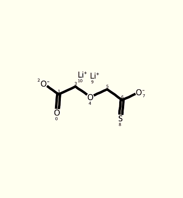 O=C([O-])COCC([O-])=S.[Li+].[Li+]